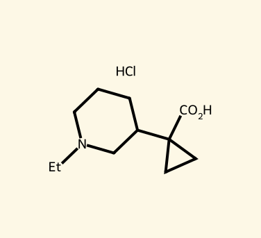 CCN1CCCC(C2(C(=O)O)CC2)C1.Cl